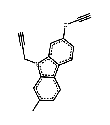 C#CCn1c2cc(C)ccc2c2ccc(OC#C)cc21